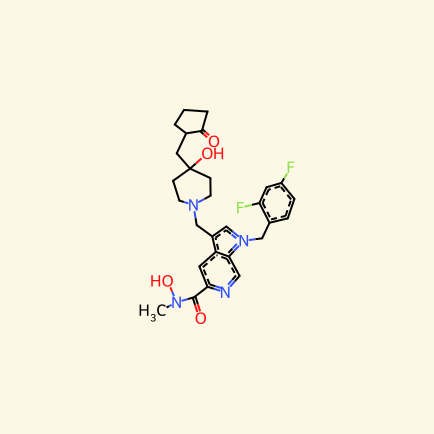 CN(O)C(=O)c1cc2c(CN3CCC(O)(CC4CCCC4=O)CC3)cn(Cc3ccc(F)cc3F)c2cn1